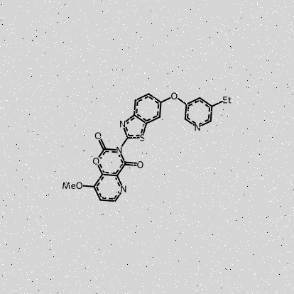 CCc1cncc(Oc2ccc3nc(-n4c(=O)oc5c(OC)ccnc5c4=O)sc3c2)c1